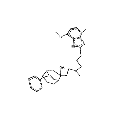 COc1ccc(C)c2nc(CCCN(C)CCC3(O)CC4CCCC3C=C4c3ccccc3)[nH]c12